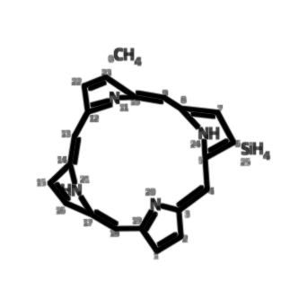 C.C1=Cc2cc3ccc(cc4nc(cc5ccc(cc1n2)[nH]5)C=C4)[nH]3.[SiH4]